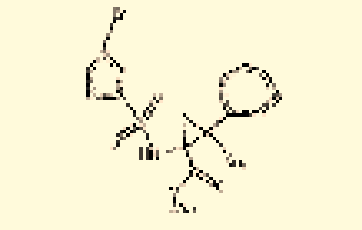 CC(C)(C)OC(=O)[C@@]1(NS(=O)(=O)c2ccc(Br)s2)CC1(C)c1ccccc1